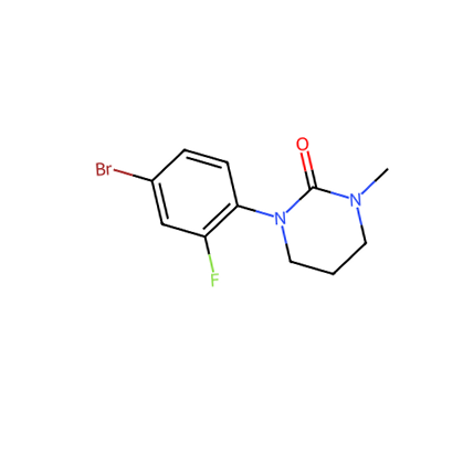 CN1CCCN(c2ccc(Br)cc2F)C1=O